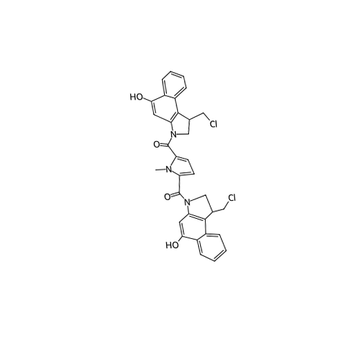 Cn1c(C(=O)N2CC(CCl)c3c2cc(O)c2ccccc32)ccc1C(=O)N1CC(CCl)c2c1cc(O)c1ccccc21